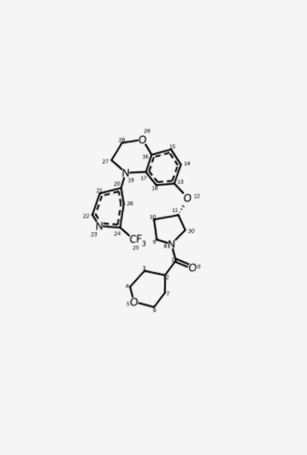 O=C(C1CCOCC1)N1CC[C@H](Oc2ccc3c(c2)N(c2ccnc(C(F)(F)F)c2)CCO3)C1